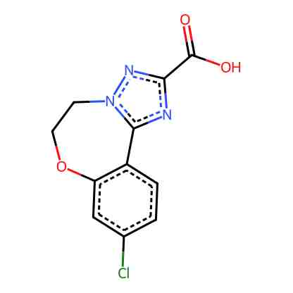 O=C(O)c1nc2n(n1)CCOc1cc(Cl)ccc1-2